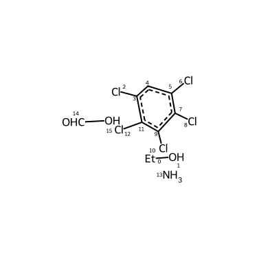 CCO.Clc1cc(Cl)c(Cl)c(Cl)c1Cl.N.O=CO